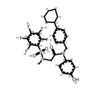 CN(CC(=O)N(Cc1ccc(C2CCCCC2)cc1)c1ccc(O)cc1)S(=O)(=O)c1c(F)c(F)c(F)c(F)c1F